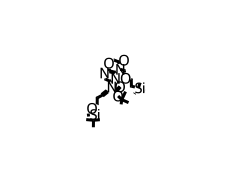 CC(C)(C)OC(=O)N(C#CCCO[Si](C)(C)C(C)(C)C)c1cnc2c(n1)N(COCC[Si](C)(C)C)C(=O)CO2